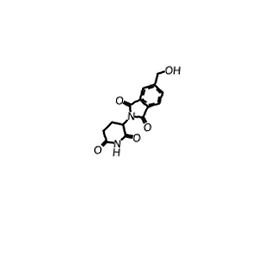 O=C1CCC(N2C(=O)c3ccc(CO)cc3C2=O)C(=O)N1